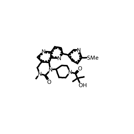 CSc1ccc(-c2ccc3ncc4c(c3n2)N(C2CCN(C(=O)C(C)(C)O)CC2)C(=O)N(C)C4)cn1